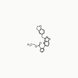 CCOC(=O)c1sccc1-c1ccc2nnc(Cc3ccc4c(c3)CCO4)n2n1